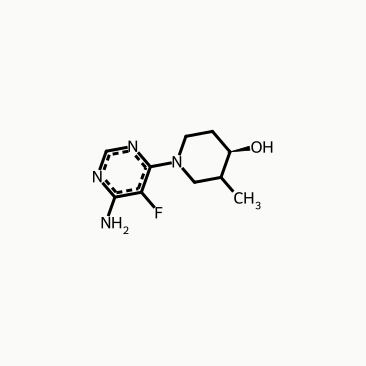 CC1CN(c2ncnc(N)c2F)CC[C@H]1O